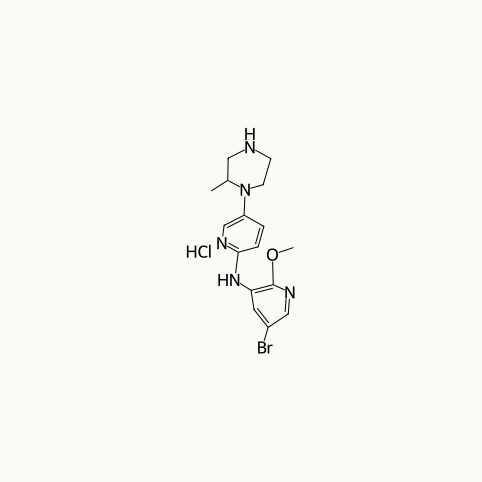 COc1ncc(Br)cc1Nc1ccc(N2CCNCC2C)cn1.Cl